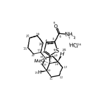 CO[C@@]1(c2ccc(C(N)=O)s2)[C@@H]2CCC[C@H]1CN(C1CCCCC1)C2.Cl